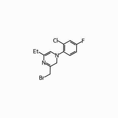 [CH2]CC1=CN(c2ccc(F)cc2Cl)CC(CBr)=N1